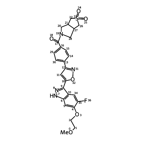 COCCOc1cc2[nH]nc(-c3cc(-c4ccc(C(=O)N5CC6CS(=O)(=O)CC6C5)cc4)no3)c2cc1F